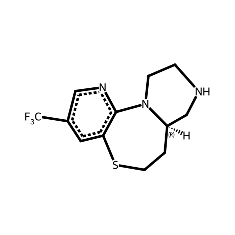 FC(F)(F)c1cnc2c(c1)SCC[C@@H]1CNCCN21